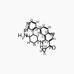 NC1CCC(Nc2c(C(=O)C3CC3)cnc3ccc(-c4ccnc(F)c4)cc23)CC1